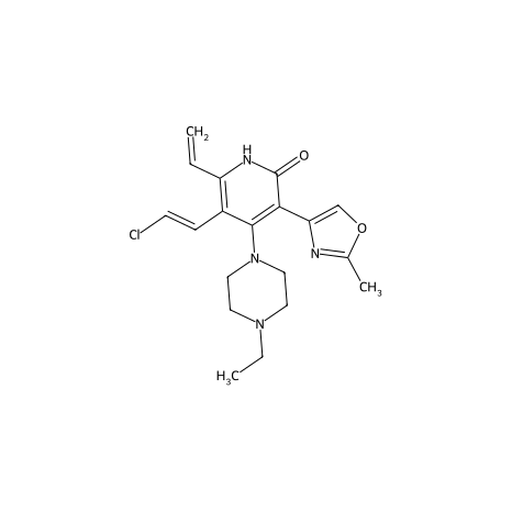 C=Cc1[nH]c(=O)c(-c2coc(C)n2)c(N2CCN(CC)CC2)c1/C=C/Cl